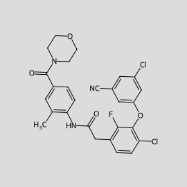 Cc1cc(C(=O)N2CCOCC2)ccc1NC(=O)Cc1ccc(Cl)c(Oc2cc(Cl)cc(C#N)c2)c1F